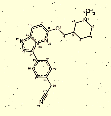 CN1CCCC(COc2ccc3ncc(-c4ccc(CC#N)cc4)n3n2)C1